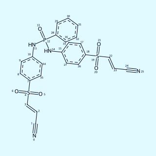 N#CC=CS(=O)(=O)c1ccc(NP(=O)(Nc2ccc(S(=O)(=O)C=CC#N)cc2)c2ccccc2)cc1